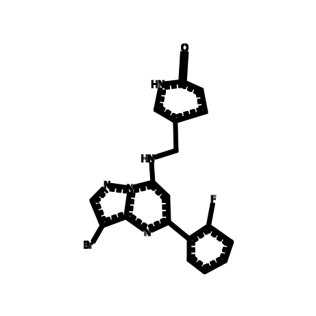 O=c1ccc(CNc2cc(-c3ccccc3F)nc3c(Br)cnn23)c[nH]1